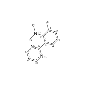 Cc1cccc(-c2ncccn2)c1N(C)C